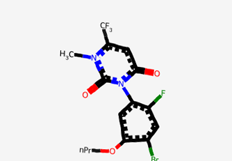 CCCOc1cc(-n2c(=O)cc(C(F)(F)F)n(C)c2=O)c(F)cc1Br